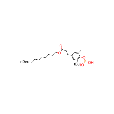 CCCCCCCCCCCCCCCCCCOC(=O)CCc1cc(C)c(OP(O)O)c(C(C)(C)C)c1